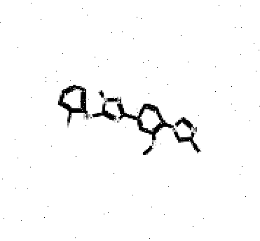 COc1cc(-c2nc(Nc3ccccc3F)n(C)n2)ccc1-n1cnc(C)c1